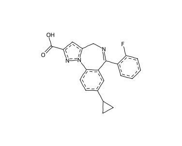 O=C(O)c1cc2n(n1)-c1ccc(C3CC3)cc1C(c1ccccc1F)=NC2